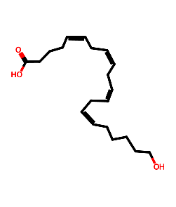 O=C(O)CCC/C=C\C/C=C\C/C=C\C/C=C\CCCCCO